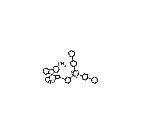 CC1C=CC2=C(C1)c1ccccc1C21C2=CC=CC3CC23Oc2cc(-c3cccc(-c4nc(-c5ccc(-c6ccccc6)cc5)nc(-c5ccc(-c6ccccc6)cc5)n4)c3)ccc21